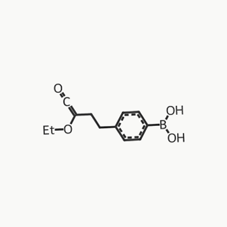 CCOC(=C=O)CCc1ccc(B(O)O)cc1